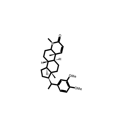 COc1ccc(C(C)[C@H]2CC[C@H]3[C@@H]4CCC5N(C)C(=O)C=C[C@]5(C)[C@H]4CC[C@]23C)cc1OC